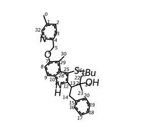 Cc1ccc(COc2ccc3[nH]c(C(Cc4ccccc4)C(C)(C)O)c(SC(C)(C)C)c3c2C)nc1